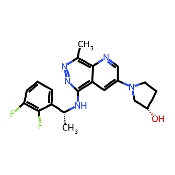 Cc1nnc(N[C@H](C)c2cccc(F)c2F)c2cc(N3CC[C@H](O)C3)cnc12